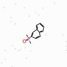 CP(C)(=O)c1ccc2ccccc2c1